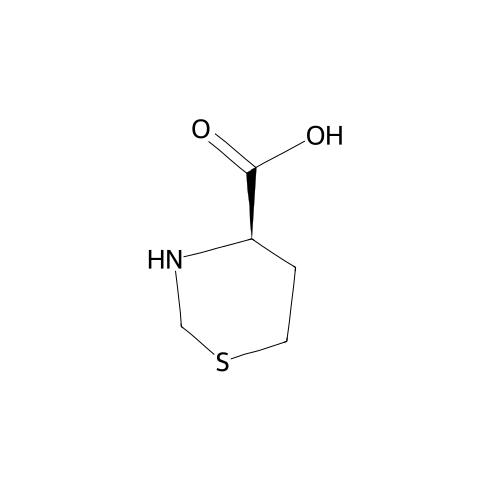 O=C(O)[C@H]1CCSCN1